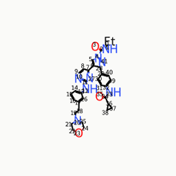 CCNC(=O)n1cc(-c2ccnc(Nc3cccc(CCN4CCOCC4)c3)n2)c(-c2ccc(NC(=O)C3CC3)cc2)n1